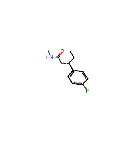 CCC(CC(=O)NC)c1ccc(F)cc1